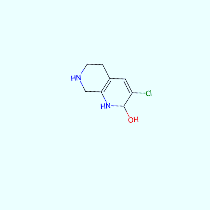 OC1NC2=C(C=C1Cl)CCNC2